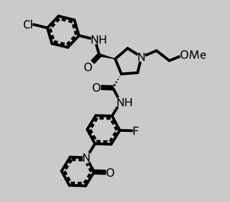 COCCN1C[C@H](C(=O)Nc2ccc(Cl)cc2)[C@@H](C(=O)Nc2ccc(-n3ccccc3=O)cc2F)C1